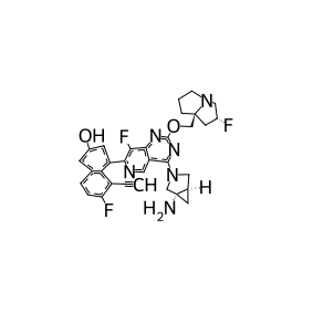 C#Cc1c(F)ccc2cc(O)cc(-c3ncc4c(N5C[C@H]6C[C@@]6(N)C5)nc(OC[C@@]56CCCN5C[C@H](F)C6)nc4c3F)c12